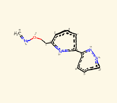 C=NOCc1cccc(-c2cccnn2)n1